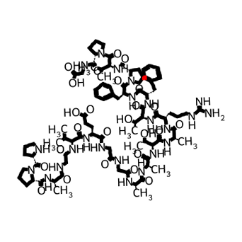 CC(C)[C@H](NC(=O)CNC(=O)[C@H](C)NC(=O)[C@@H]1CCCN1C(=O)[C@@H]1CCCN1)C(=O)N[C@@H](CCC(=O)O)C(=O)NCC(=O)NCC(=O)N[C@@H](C)C(=O)N[C@@H](C)C(=O)N[C@H](C(=O)N[C@@H](C)C(=O)N[C@@H](CCCNC(=N)N)C(=O)N[C@H](C(=O)N[C@@H](Cc1ccccc1)C(=O)N[C@@H](Cc1ccccc1)C(=O)N1CCC[C@H]1C(=O)N[C@H](C(=O)N1CCC[C@H]1C(=O)NCC(=O)O)C(C)C)[C@@H](C)O)[C@@H](C)O